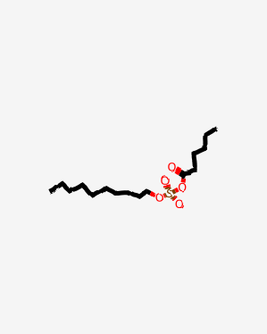 CCCCCCCCCCOS(=O)(=O)OC(=O)CCCCC